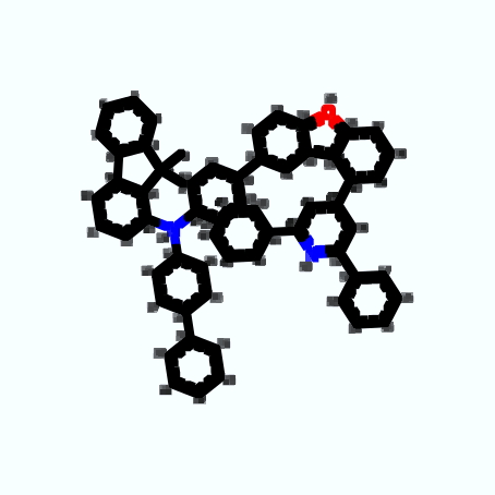 CC1(C)c2ccccc2-c2cccc(N(c3ccc(-c4ccccc4)cc3)c3ccc(-c4ccc5oc6cccc(-c7cc(-c8ccccc8)nc(-c8ccccc8)c7)c6c5c4)cc3)c21